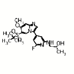 COc1cc2ncc(-c3cc(F)nc(NC[C@H](C)O)c3)n2cc1S(=O)(=O)C(C)(C)C